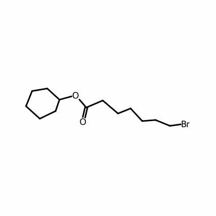 O=C(CCCCCCBr)OC1CCCCC1